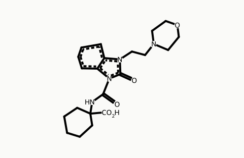 O=C(NC1(C(=O)O)CCCCC1)n1c(=O)n(CCN2CCOCC2)c2ccccc21